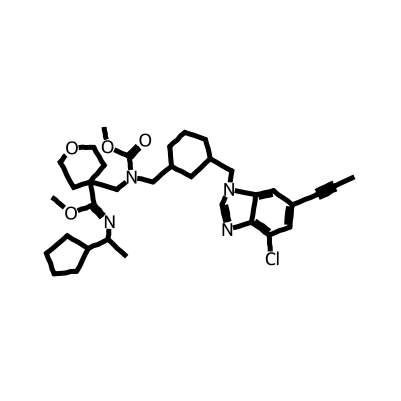 CC#Cc1cc(Cl)c2ncn(CC3CCCC(CN(CC4(/C(=N/C(C)C5CCCC5)OC)CCOCC4)C(=O)OC)C3)c2c1